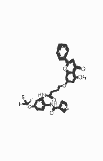 O=C(CCCOc1cc(O)c2c(=O)cc(-c3ccccc3)oc2c1)Nc1cc(OC(F)(F)F)ccc1NC(=O)c1ccsc1